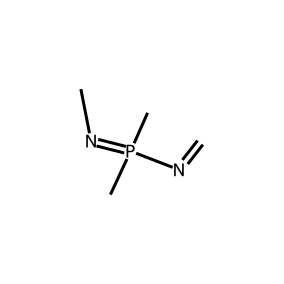 C=NP(C)(C)=NC